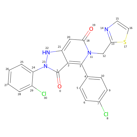 O=c1c2c(-c3ccc(Cl)cc3)n(Cc3nccs3)c(=O)cc2[nH]n1-c1ccccc1Cl